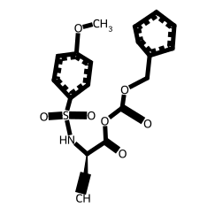 C#C[C@@H](NS(=O)(=O)c1ccc(OC)cc1)C(=O)OC(=O)OCc1ccccc1